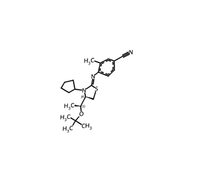 Cc1cc(C#N)ccc1N=C1SC[C@@H]([C@H](C)OC(C)(C)C)N1C1CCCC1